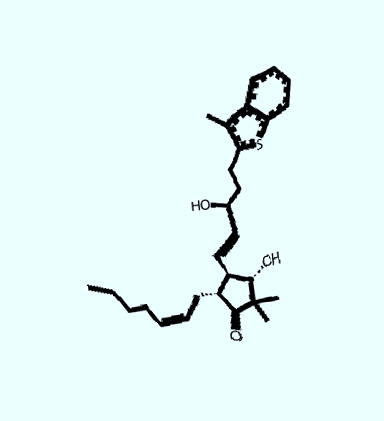 CCCC/C=C\C[C@H]1C(=O)C(C)(C)[C@@H](O)[C@@H]1/C=C/C(O)CCc1sc2ccccc2c1C